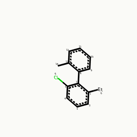 CCc1cccc(Cl)c1-c1ccccc1C